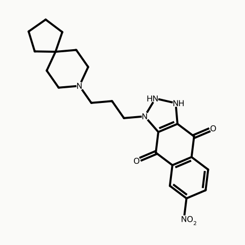 O=c1c2[nH][nH]n(CCCN3CCC4(CCCC4)CC3)c=2c(=O)c2cc([N+](=O)[O-])ccc12